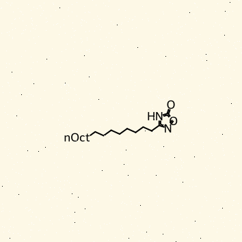 CCCCCCCCCCCCCCCCc1noc(=O)[nH]1